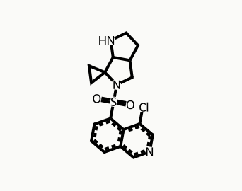 O=S(=O)(c1cccc2cncc(Cl)c12)N1CC2CCNC2C12CC2